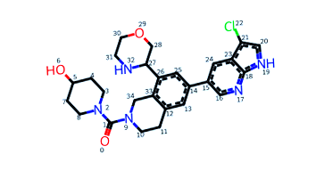 O=C(N1CCC(O)CC1)N1CCc2cc(-c3cnc4[nH]cc(Cl)c4c3)cc(C3COCCN3)c2C1